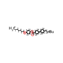 C=CCCCCCOc1ccc(OC(=O)c2ccc(-c3ccc(CCC(C)CC)cc3)cc2)cc1